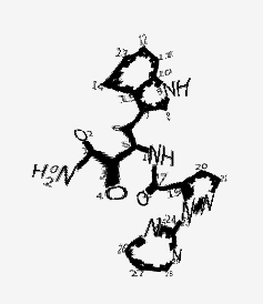 NC(=O)C(=O)C(Cc1c[nH]c2ccccc12)NC(=O)c1ccnn1-c1ncccn1